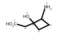 NC1CCC1(O)CC(=O)O